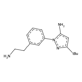 CC(C)(C)c1cc(N)n(-c2cccc(CCN)c2)n1